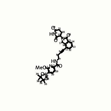 COc1nc(C(=O)NCCC#Cc2cccc3c2CN(C2CCC(=O)NC2=O)C3=O)ccc1B1OC(C)(C)C(C)(C)O1